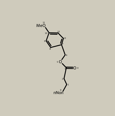 CCCCCCCCCCCC(=O)OCc1ccc(OC)cc1